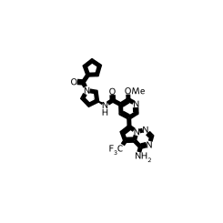 COc1ncc(-c2cc(C(F)(F)F)c3c(N)ncnn23)cc1C(=O)N[C@H]1CCN(C(=O)C2CCCC2)C1